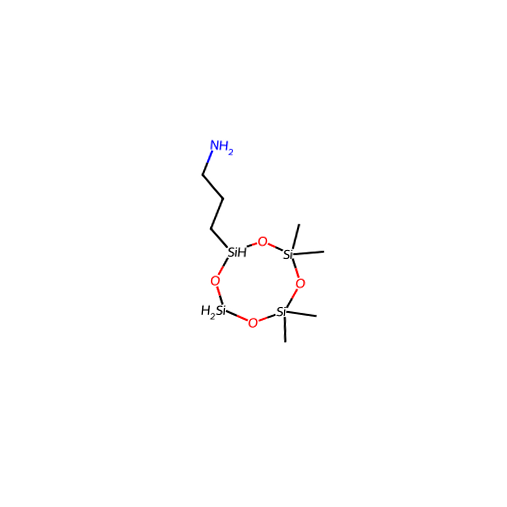 C[Si]1(C)O[SiH2]O[SiH](CCCN)O[Si](C)(C)O1